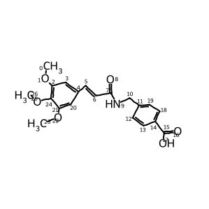 COc1cc(C=CC(=O)NCc2ccc(C(=O)O)cc2)cc(OC)c1OC